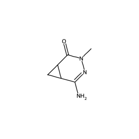 CN1N=C(N)C2CC2C1=O